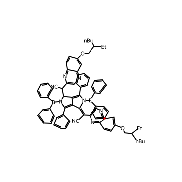 CCCCC(CC)COc1ccc2nc(/C(C#N)=c3/c4c(c(-c5ccccc5)n3B(c3ccccc3)c3ccccc3)C(C(C#N)c3cnc5cc(OCC(CC)CCCC)ccc5n3)N(B(c3ccccc3)c3ccccc3)C=4c3ccccc3)cnc2c1